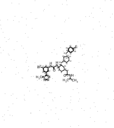 CC(C)NC(=O)CN1CC[C@@H](NC(=O)Nc2cc(Br)cc(-c3nnnn3C)c2)[C@H](CN2CCC[C@@H](Cc3ccc(F)cc3)C2)C1